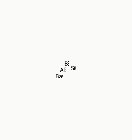 [Al].[B].[Ba].[Si]